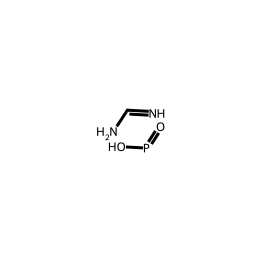 N=CN.O=PO